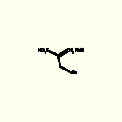 C=C(CCCCC)S(=O)(=O)O.[NaH]